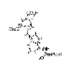 CCCCCC(=O)Nc1cccc2c1ccn2Cc1ccc(C(=O)O)cc1OC